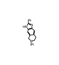 CC(C)c1nc2cc3c(cc2[nH]1)CN(C(C)C)CC3